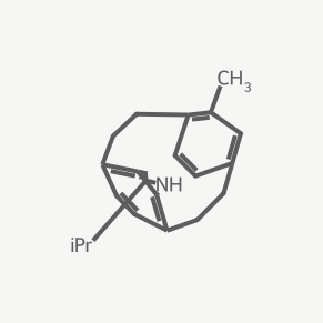 Cc1cc2ccc1CCc1ccc(c3[nH]c(C(C)C)cc13)CC2